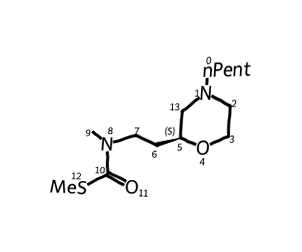 CCCCCN1CCO[C@@H](CCN(C)C(=O)SC)C1